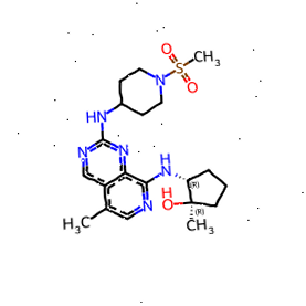 Cc1cnc(N[C@@H]2CCC[C@@]2(C)O)c2nc(NC3CCN(S(C)(=O)=O)CC3)ncc12